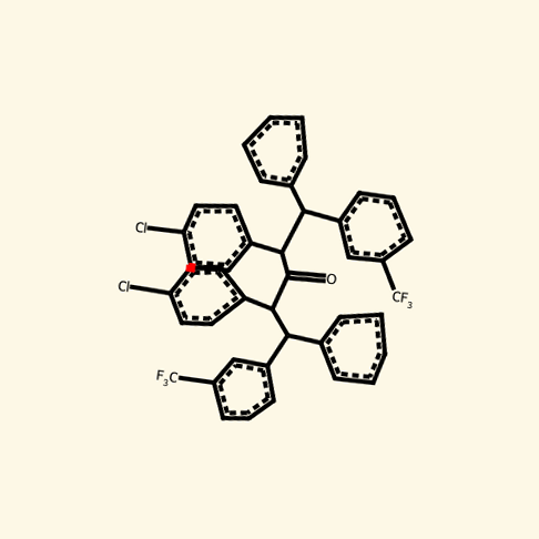 O=C(C(c1ccc(Cl)cc1)C(c1ccccc1)c1cccc(C(F)(F)F)c1)C(c1ccc(Cl)cc1)C(c1ccccc1)c1cccc(C(F)(F)F)c1